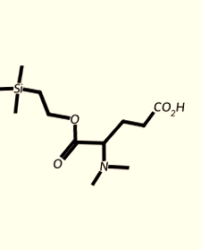 CN(C)C(CCC(=O)O)C(=O)OCC[Si](C)(C)C